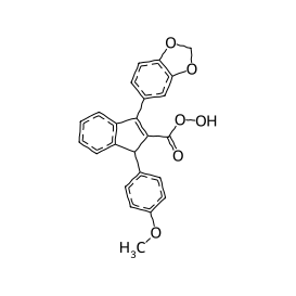 COc1ccc(C2C(C(=O)OO)=C(c3ccc4c(c3)OCO4)c3ccccc32)cc1